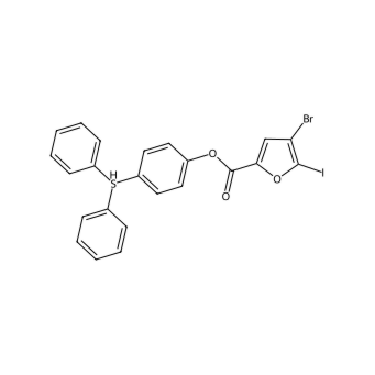 O=C(Oc1ccc([SH](c2ccccc2)c2ccccc2)cc1)c1cc(Br)c(I)o1